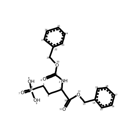 O=C(NC(CCP(=O)(O)O)C(=O)OCc1ccccc1)OCc1ccccc1